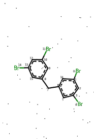 Brc1cc(Br)cc([CH]c2cc(Br)cc(Br)c2)c1